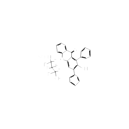 O=S(=O)(O)C(F)(F)C(F)(F)C(F)(F)C(F)(F)F.S=c1c2ccccc2oc2cc(-c3ccccc3)c(S)c(-c3ccccc3)c12